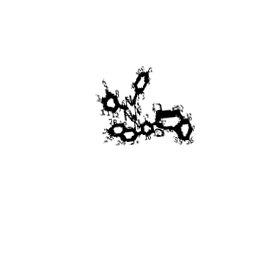 c1ccc(-c2nc(-c3ccccc3)nc(-n3c4cc5c(cc4c4ccc6ccccc6c43)oc3c4ccccc4ccc53)n2)cc1